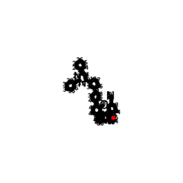 N#Cc1cccc2c1Oc1c(-c3ccc(-c4cccc(-c5cc(-c6ccccc6)nc(-c6ccccc6)n5)c4)cc3)cccc1C21c2ccccc2-c2ccccc21